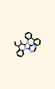 C=CC1c2ccccc2N2c3nccnc3N(c3ccccc3-c3ccccc3)C2C1C